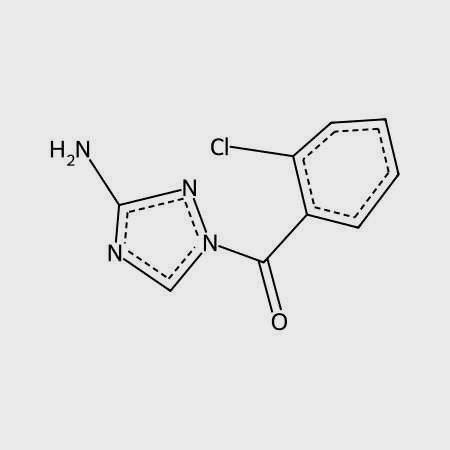 Nc1ncn(C(=O)c2ccccc2Cl)n1